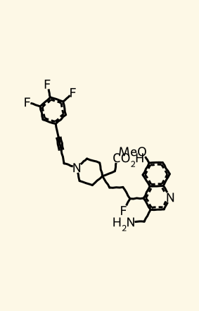 COc1ccc2ncc(CN)c(C(F)CCC3(CC(=O)O)CCN(CC#Cc4cc(F)c(F)c(F)c4)CC3)c2c1